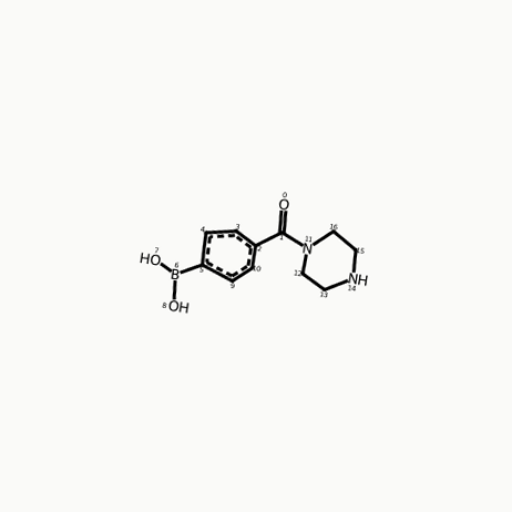 O=C(c1ccc(B(O)O)cc1)N1CCNCC1